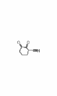 N#CC1CCCC(=O)C1=O